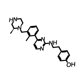 Cc1c(CN2CCNC[C@@H]2C)cccc1-c1ccnc(NCCc2ccc(O)cc2)n1